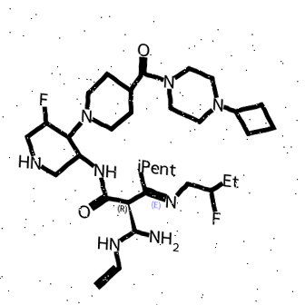 C=CNC(N)[C@@H](C(=O)NC1CNCC(F)C1N1CCC(C(=O)N2CCN(C3CCC3)CC2)CC1)/C(=N/CC(F)CC)C(C)CCC